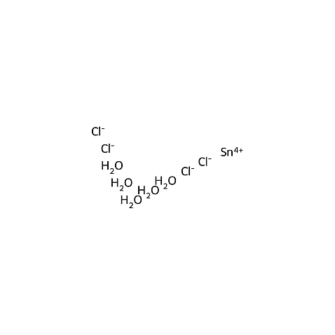 O.O.O.O.O.[Cl-].[Cl-].[Cl-].[Cl-].[Sn+4]